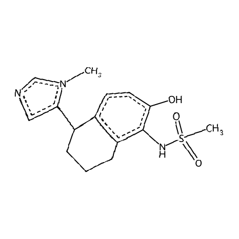 Cn1cncc1C1CCCc2c1ccc(O)c2NS(C)(=O)=O